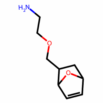 NCCOCC1CC2C=CC1O2